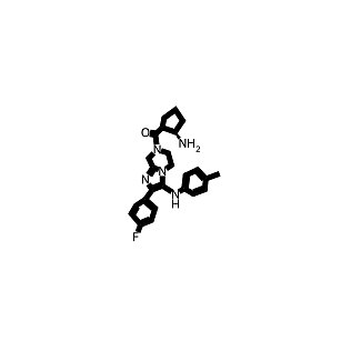 Cc1ccc(Nc2c(-c3ccc(F)cc3)nc3n2CCN(C(=O)C2CCC[C@H]2N)C3)cc1